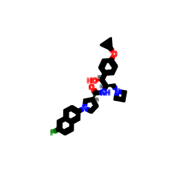 O=C(N[C@H](CN1CCC1)[C@H](O)c1ccc(OC2CC2)cc1)[C@@H]1CCN(c2ccc3cc(F)ccc3c2)C1